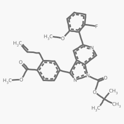 C=CCc1cc(-c2nn(C(=O)OC(C)(C)C)c3cnc(-c4c(F)cccc4OC)cc23)ccc1C(=O)OC